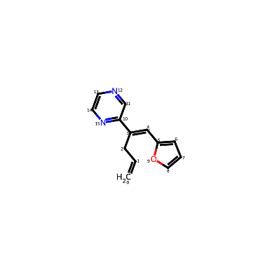 C=CCC(=[C]c1ccco1)c1cnccn1